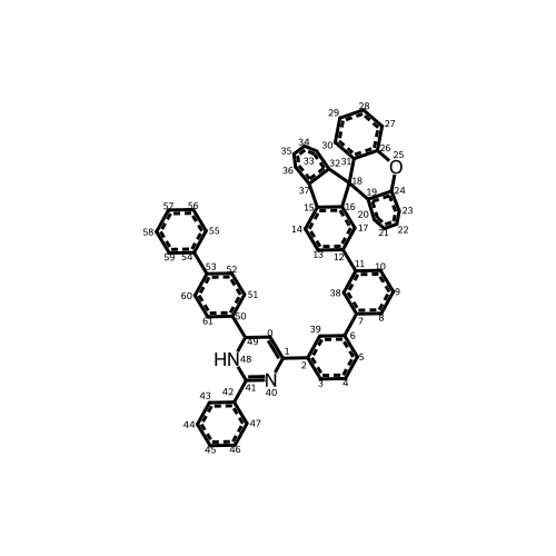 C1=C(c2cccc(-c3cccc(-c4ccc5c(c4)C4(c6ccccc6Oc6ccccc64)c4ccccc4-5)c3)c2)N=C(c2ccccc2)NC1c1ccc(-c2ccccc2)cc1